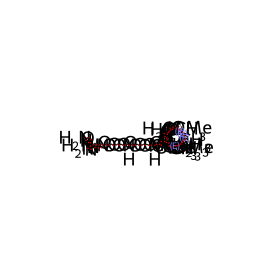 CO[C@H]1C[C@@H]2CC[C@@H](C)[C@@](O)(O2)C(=O)C(=O)N2CCCC[C@H]2C(=O)O[C@H]([C@H](N)C[C@@H]2CC[C@@H](OC(=O)NCCOCCOCCOCCOCCC(=O)NCCOCCOCCOCCOCCC(=O)N3CCc4cc(Cn5nc(-c6ccc7oc(N)nc7c6)c6c(N)ncnc65)ccc4C3)[C@H](OC)C2)CC(=O)[C@H](C)/C=C(\C)[C@@H](O)[C@@H](OC)C(=O)[C@H](C)C[C@H](C)/C=C/C=C/C=C/1C